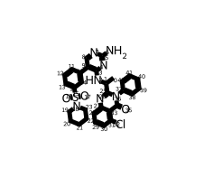 CC(Nc1nc(N)ncc1-c1cccc(S(=O)(=O)N2CCCCC2)c1)c1nc2cccc(Cl)c2c(=O)n1-c1ccccc1